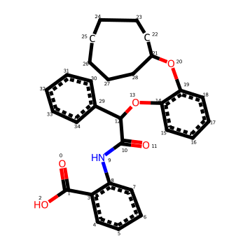 O=C(O)c1ccccc1NC(=O)C(Oc1ccccc1OC1CCCCCCC1)c1ccccc1